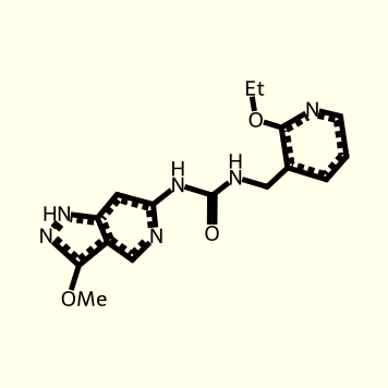 CCOc1ncccc1CNC(=O)Nc1cc2[nH]nc(OC)c2cn1